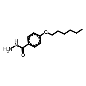 CCCCCCOc1ccc(C(=O)NN)cc1